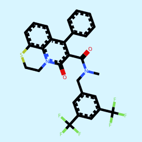 CN(Cc1cc(C(F)(F)F)cc(C(F)(F)F)c1)C(=O)c1c(-c2ccccc2)c2cccc3c2n(c1=O)CCS3